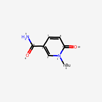 CCCCn1cc(C(N)=O)ccc1=O